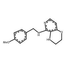 COc1ccc(CNc2nccc3c2NCCO3)cc1